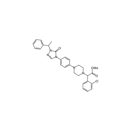 COC(=O)C(c1ccccc1Cl)N1CCN(c2ccc(-n3cnn(C(C)c4ccccc4)c3=O)cc2)CC1